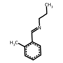 CCCN=Cc1ccccc1C